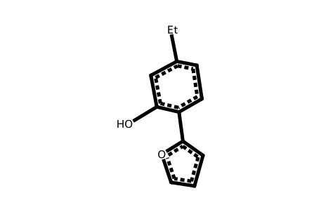 CCc1ccc(-c2ccco2)c(O)c1